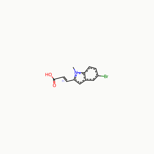 Cn1c(/C=C/C(=O)O)cc2cc(Br)ccc21